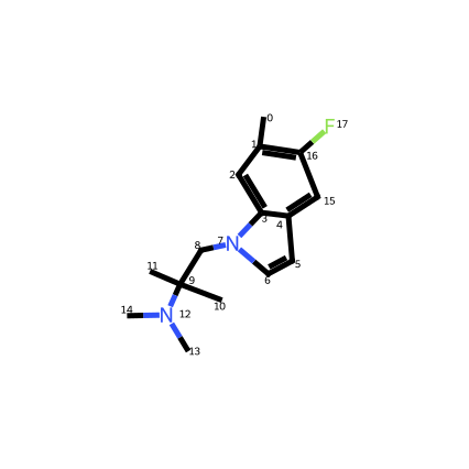 Cc1cc2c(ccn2CC(C)(C)N(C)C)cc1F